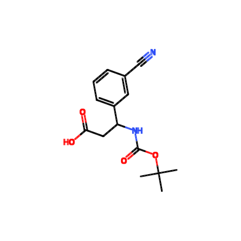 CC(C)(C)OC(=O)NC(CC(=O)O)c1cccc(C#N)c1